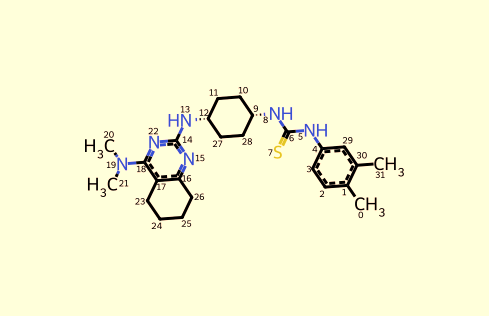 Cc1ccc(NC(=S)N[C@H]2CC[C@@H](Nc3nc4c(c(N(C)C)n3)CCCC4)CC2)cc1C